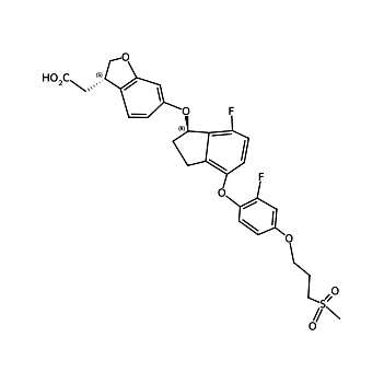 CS(=O)(=O)CCCOc1ccc(Oc2ccc(F)c3c2CC[C@H]3Oc2ccc3c(c2)OC[C@H]3CC(=O)O)c(F)c1